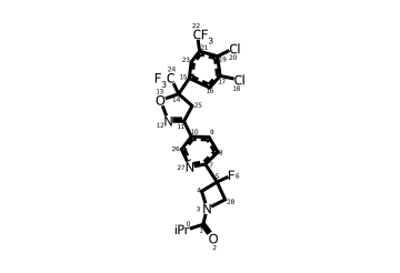 CC(C)C(=O)N1CC(F)(c2ccc(C3=NOC(c4cc(Cl)c(Cl)c(C(F)(F)F)c4)(C(F)(F)F)C3)cn2)C1